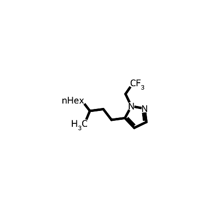 CCCCCCC(C)CCc1ccnn1CC(F)(F)F